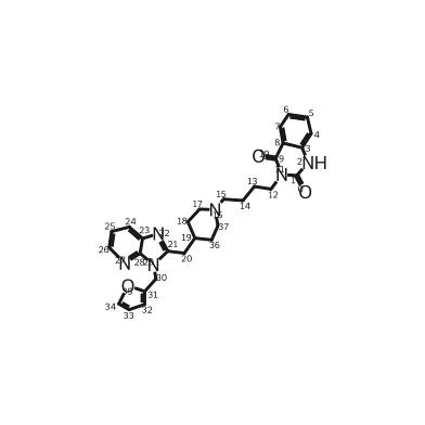 O=c1[nH]c2ccccc2c(=O)n1CCCCN1CCC(Cc2nc3cccnc3n2Cc2ccco2)CC1